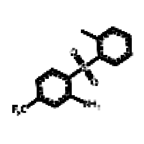 Cc1ccccc1S(=O)(=O)c1ccc(C(F)(F)F)cc1N